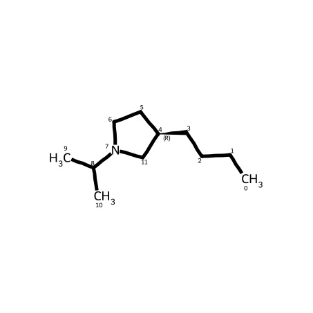 CCCC[C@@H]1CCN(C(C)C)C1